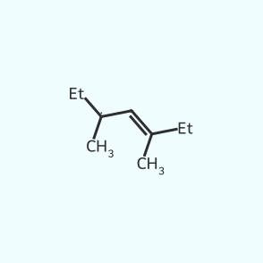 CC[C](C)C=C(C)CC